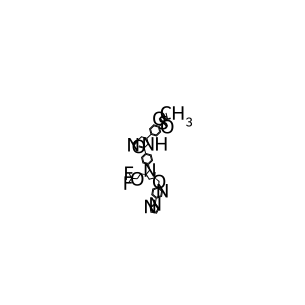 CCS(=O)(=O)c1ccc(C(CC#N)NC(=O)c2ccc(N3C[C@@H](Oc4ccc(-n5cccn5)cn4)C[C@H]3COC(F)F)cc2)cc1